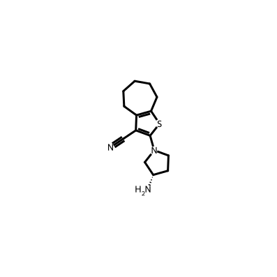 N#Cc1c(N2CC[C@H](N)C2)sc2c1CCCCC2